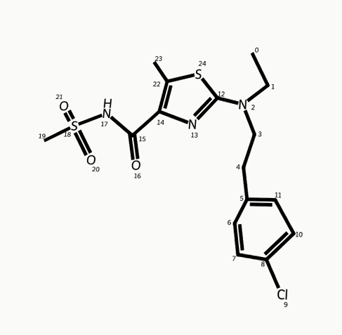 CCN(CCc1ccc(Cl)cc1)c1nc(C(=O)NS(C)(=O)=O)c(C)s1